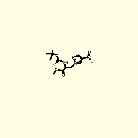 COC(=O)[C@H](Cn1cc([N+](=O)[O-])cn1)NC(=O)OC(C)(C)C